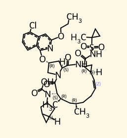 CCCOc1cc2c(Cl)cccc2c(O[C@@H]2C[C@H]3C(=O)N[C@]4(C(=O)NS(=O)(=O)C5(C)CC5)C[C@H]4/C=C\CC[C@@H](C)C[C@@H](C)[C@H](N(C(=O)O)C4CC5C[C@H]5C4)C(=O)N3C2)n1